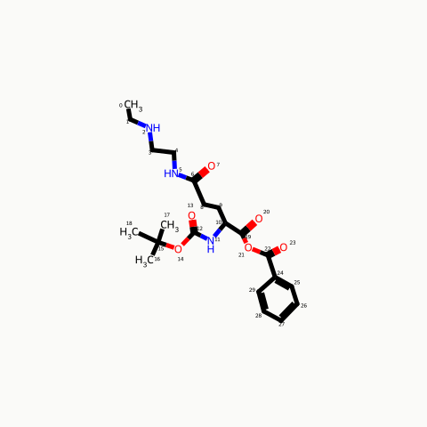 CCNCCNC(=O)CCC(NC(=O)OC(C)(C)C)C(=O)OC(=O)c1ccccc1